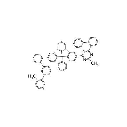 Cc1nc(-c2ccc3c(c2)-c2ccccc2C3(c2ccccc2)c2ccc(-c3ccccc3-c3cccc(-c4cnccc4C)c3)cc2)nc(-c2ccccc2-c2ccccc2)n1